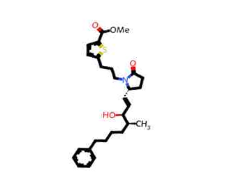 COC(=O)c1ccc(CCCN2C(=O)CC[C@@H]2C=C[C@H](O)[C@@H](C)CCCCc2ccccc2)s1